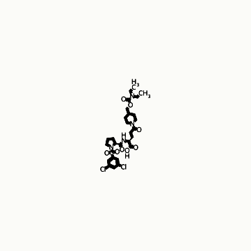 CCN(CC)C(=O)OCC1CCN(C(=O)CC[C@H](NC(=O)[C@@H]2CCCN2S(=O)(=O)c2cc(Cl)cc(Cl)c2)C(=O)O)CC1